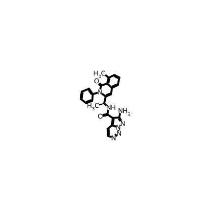 Cc1cccc2cc([C@H](C)NC(=O)c3c(N)nn4nnccc34)n(-c3ccccc3)c(=O)c12